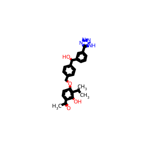 CC(=O)c1ccc(OCc2ccc(C(O)c3cccc(-c4nnn[nH]4)c3)cc2)c(C(C)C)c1O